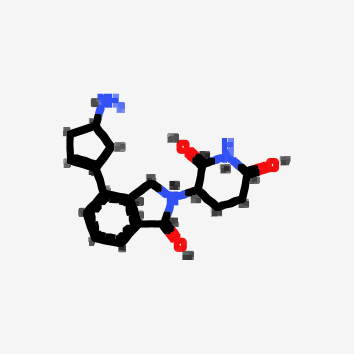 NC1CC=C(c2cccc3c2CN(C2CCC(=O)NC2=O)C3=O)C1